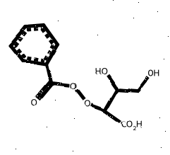 O=C(OOC(C(=O)O)C(O)CO)c1ccccc1